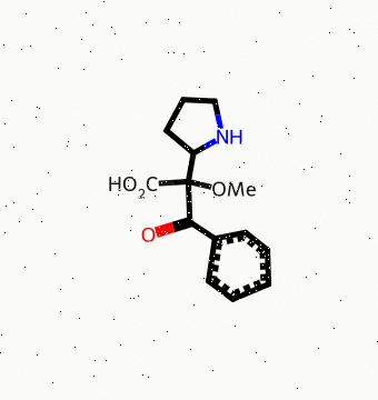 COC(C(=O)O)(C(=O)c1ccccc1)C1CCCN1